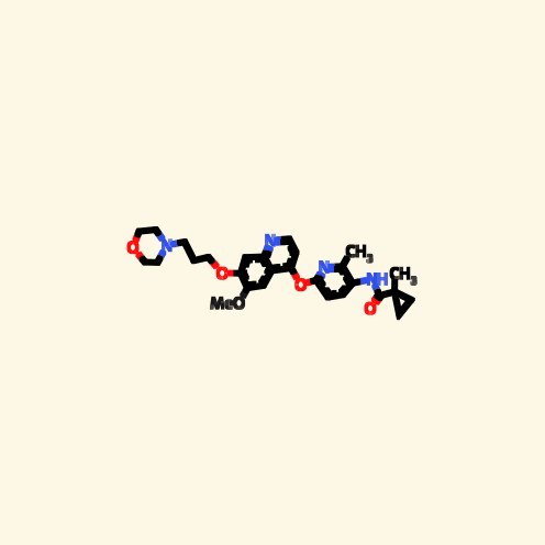 COc1cc2c(Oc3ccc(NC(=O)C4(C)CC4)c(C)n3)ccnc2cc1OCCCN1CCOCC1